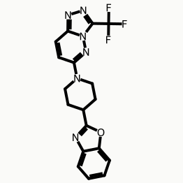 FC(F)(F)c1nnc2ccc(N3CCC(c4nc5ccccc5o4)CC3)nn12